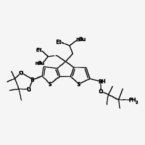 CCCCC(CC)CC1(CC(CC)CCCC)c2cc(BOC(C)(C)C(C)(C)P)sc2-c2sc(B3OC(C)(C)C(C)(C)O3)cc21